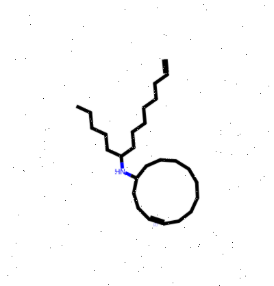 C=CCCCCCCC(CCCCC)NC1CC/C=C\CCCCCCCC1